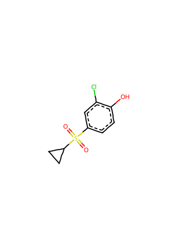 O=S(=O)(c1ccc(O)c(Cl)c1)C1CC1